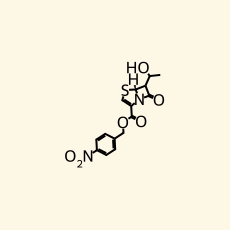 CC(O)C1C(=O)N2C(C(=O)OCc3ccc([N+](=O)[O-])cc3)=CS[C@H]12